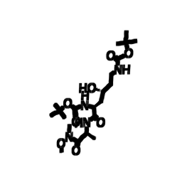 CON(C)C(=O)[C@H](C)NC(=O)[C@H](C[C@H](O)CCNC(=O)OC(C)(C)C)NC(=O)OC(C)(C)C